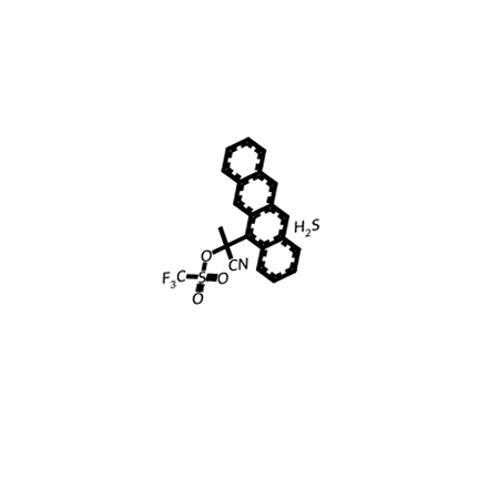 CC(C#N)(OS(=O)(=O)C(F)(F)F)c1c2ccccc2cc2cc3ccccc3cc12.S